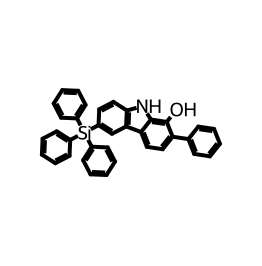 Oc1c(-c2ccccc2)ccc2c1[nH]c1ccc([Si](c3ccccc3)(c3ccccc3)c3ccccc3)cc12